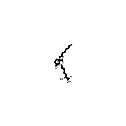 CCCCCCCC[C@]1([C](F)F)CCC(=O)[C@@H]1CC=CCCC(O)C(=O)O